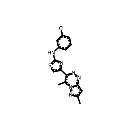 Cc1cc2nnc(-c3csc(Nc4cccc(Cl)c4)n3)c(C)n2n1